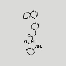 Nc1ccccc1C(=O)NC(=O)Cc1ccc(-c2cccc3ccccc23)cc1